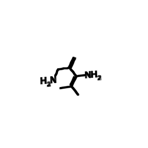 C=C(CN)C(N)=C(C)C